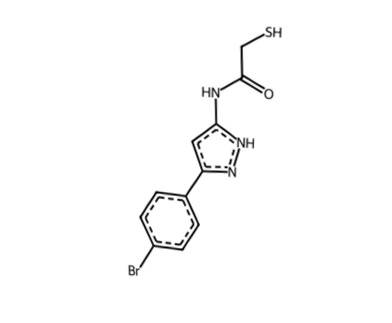 O=C(CS)Nc1cc(-c2ccc(Br)cc2)n[nH]1